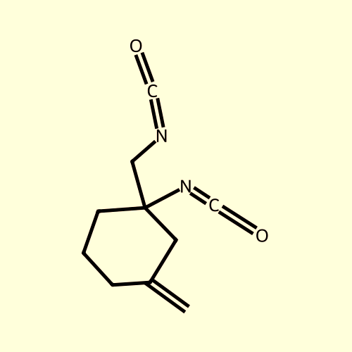 C=C1CCCC(CN=C=O)(N=C=O)C1